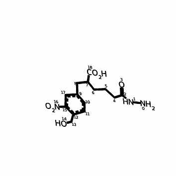 NNC(=O)CCCC(Cc1ccc(CO)c([N+](=O)[O-])c1)C(=O)O